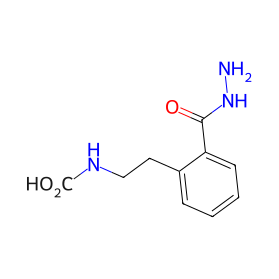 NNC(=O)c1ccccc1CCNC(=O)O